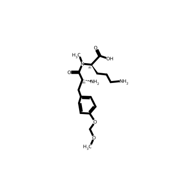 COCOc1ccc(C[C@@H](N)C(=O)N(C)[C@H](CCCN)C(=O)O)cc1